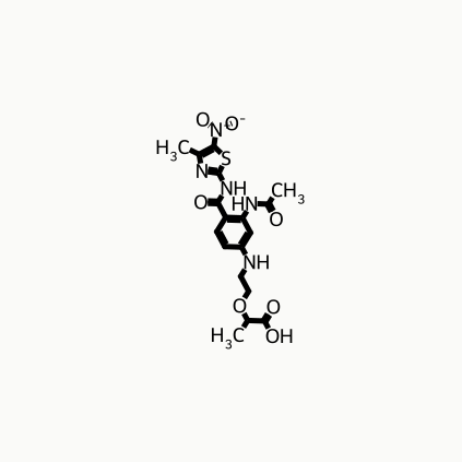 CC(=O)Nc1cc(NCCOC(C)C(=O)O)ccc1C(=O)Nc1nc(C)c([N+](=O)[O-])s1